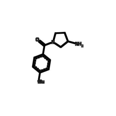 CC(C)(C)c1ccc(C(=O)N2CCC(N)C2)cc1